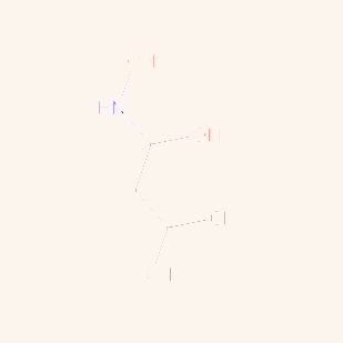 CC(C)CC(O)NO